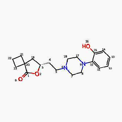 O=C1O[C@@H](CCN2CCN(c3ccccc3O)CC2)CC12CCC2